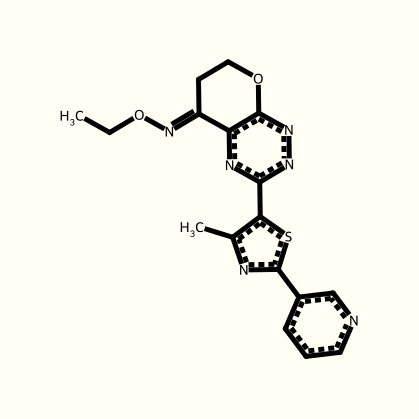 CCO/N=C1\CCOc2nnc(-c3sc(-c4cccnc4)nc3C)nc21